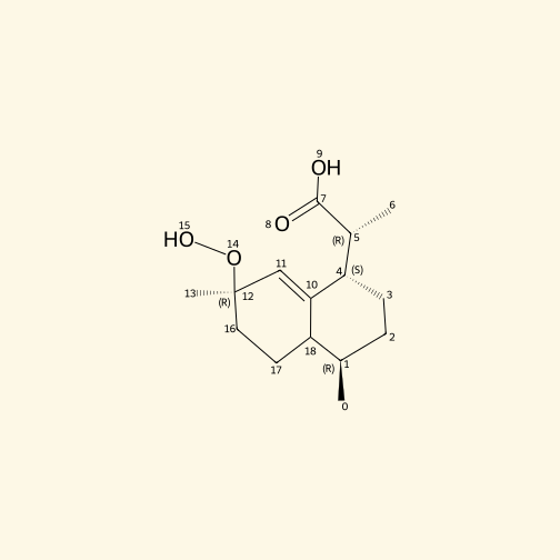 C[C@@H]1CC[C@@H]([C@@H](C)C(=O)O)C2=C[C@](C)(OO)CCC21